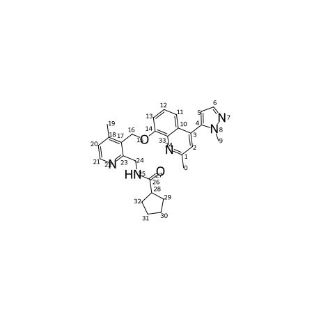 Cc1cc(-c2ccnn2C)c2cccc(OCc3c(C)ccnc3CNC(=O)C3CCCC3)c2n1